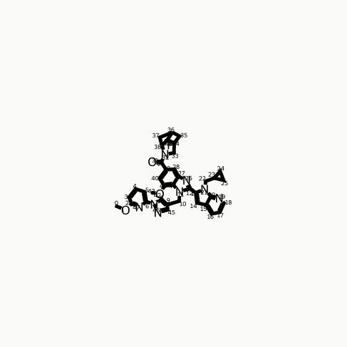 COc1cccc(-n2cc(Cn3c(-c4cc5cccnc5n4CC4CC4)nc4cc(C(=O)N5CC6CC7CC5[C@H]76)cc(OC)c43)cn2)n1